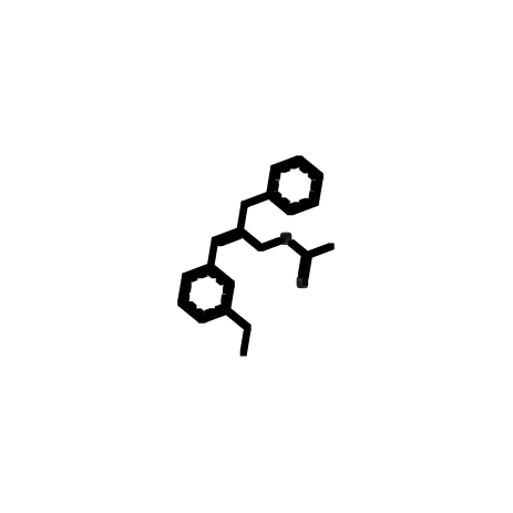 CCc1cccc(C=C(COC(C)=O)Cc2ccccc2)c1